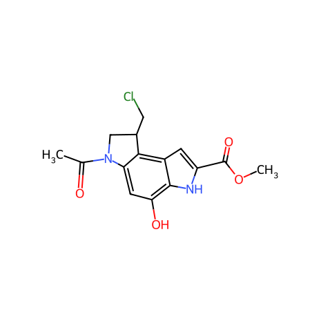 COC(=O)c1cc2c3c(cc(O)c2[nH]1)N(C(C)=O)CC3CCl